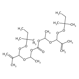 C=C(C)C(OOC(C)(C)CC)OC(C)OC(=O)OC(C)OC(OOC(C)(C)CC)C(=C)C